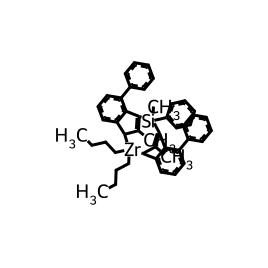 CCC[CH2][Zr]1([CH2]CCC)[CH]2C(C)=C(c3c(-c4ccccc4)cccc32)[Si](C)(c2ccccc2)C2=C(C)[CH]1c1cccc(-c3ccccc3)c12